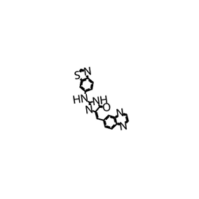 O=C1NC(Nc2ccc3ncsc3c2)=NC1=Cc1ccc2nccnc2c1